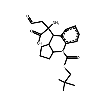 CC(C)(C)COC(=O)N1c2ccccc2C(C(N)(CC=O)C(=O)O)C2CCCC21